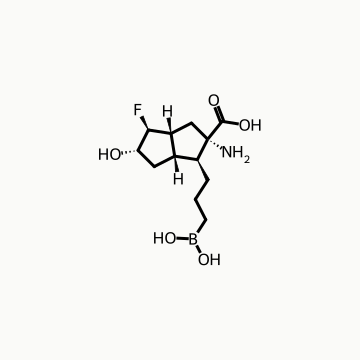 N[C@@]1(C(=O)O)C[C@H]2[C@H](F)[C@@H](O)C[C@H]2[C@@H]1CCCB(O)O